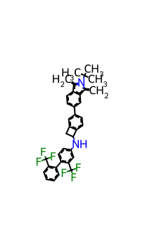 C=c1c2ccc(-c3ccc4c(c3)CC4Nc3ccc(-c4ccccc4C(F)(F)F)c(C(F)(F)F)c3)cc2c(=C)n1C(C)(C)C